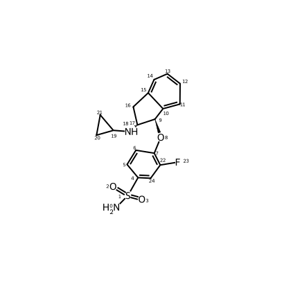 NS(=O)(=O)c1ccc(O[C@@H]2c3ccccc3C[C@H]2NC2CC2)c(F)c1